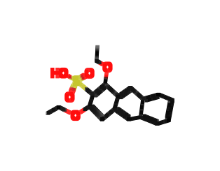 CCOc1cc2cc3ccccc3cc2c(OCC)c1S(=O)(=O)O